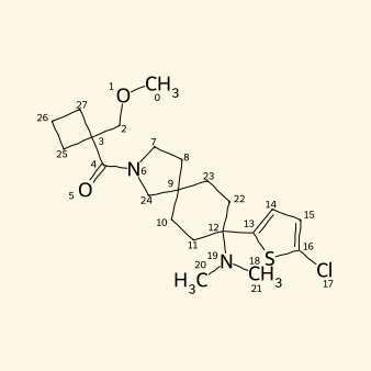 COCC1(C(=O)N2CCC3(CCC(c4ccc(Cl)s4)(N(C)C)CC3)C2)CCC1